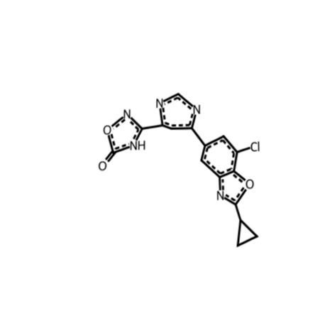 O=c1[nH]c(-c2cc(-c3cc(Cl)c4oc(C5CC5)nc4c3)ncn2)no1